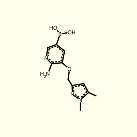 Cc1cc(COc2cc(B(O)O)cnc2N)nn1C